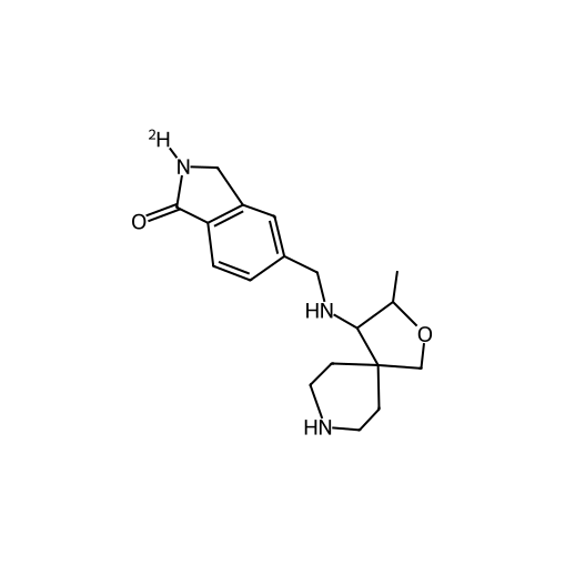 [2H]N1Cc2cc(CNC3C(C)OCC34CCNCC4)ccc2C1=O